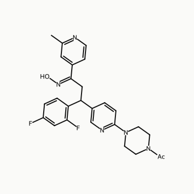 CC(=O)N1CCN(c2ccc(C(CC(=NO)c3ccnc(C)c3)c3ccc(F)cc3F)cn2)CC1